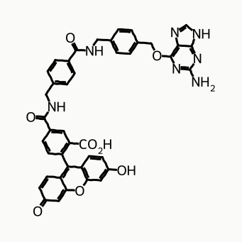 Nc1nc(OCc2ccc(CNC(=O)c3ccc(CNC(=O)c4ccc(-c5c6ccc(=O)cc-6oc6cc(O)ccc56)c(C(=O)O)c4)cc3)cc2)c2nc[nH]c2n1